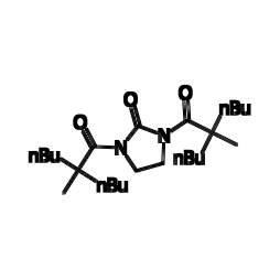 CCCCC(C)(CCCC)C(=O)N1CCN(C(=O)C(C)(CCCC)CCCC)C1=O